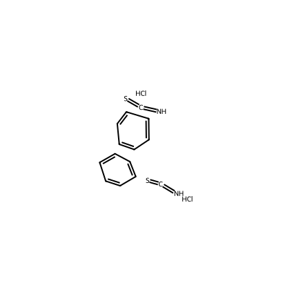 Cl.Cl.N=C=S.N=C=S.c1ccccc1.c1ccccc1